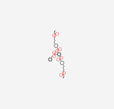 C=CC(=O)OCCCCC1CCC(C(=O)Oc2ccc(OC(=O)C3CCC(CCCCOC(=O)C=C)CC3)c(C(=O)OCc3ccccc3)c2)CC1